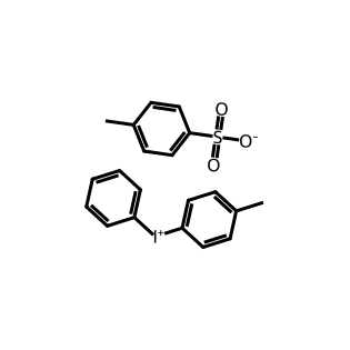 Cc1ccc(S(=O)(=O)[O-])cc1.Cc1ccc([I+]c2ccccc2)cc1